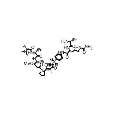 CC[C@@H](C)[C@@H]([C@@H](CC(=O)N1CCCC1[C@H](OC)[C@@H](C)C(=O)NS(=O)(=O)c1ccc(NC(=O)[C@H](CCCNC(N)=O)NC(=O)[C@@H](N)C(C)C)cc1)OC)N(C)C(=O)[C@@H](NC(=O)[C@H](C(C)C)N(C)C)C(C)C